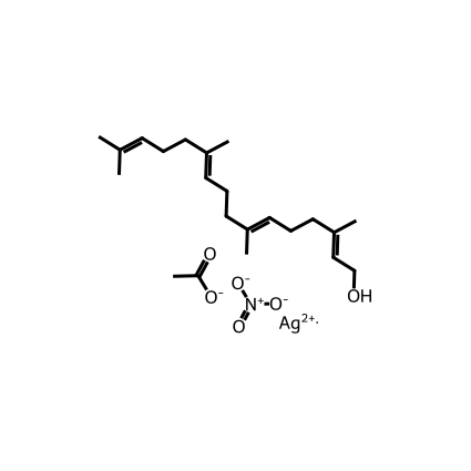 CC(=O)[O-].CC(C)=CCCC(C)=CCCC(C)=CCCC(C)=CCO.O=[N+]([O-])[O-].[Ag+2]